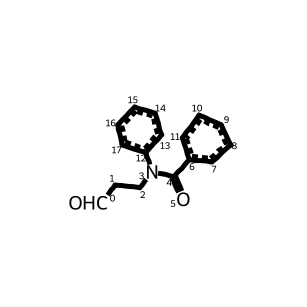 O=CCCN(C(=O)c1ccccc1)c1ccccc1